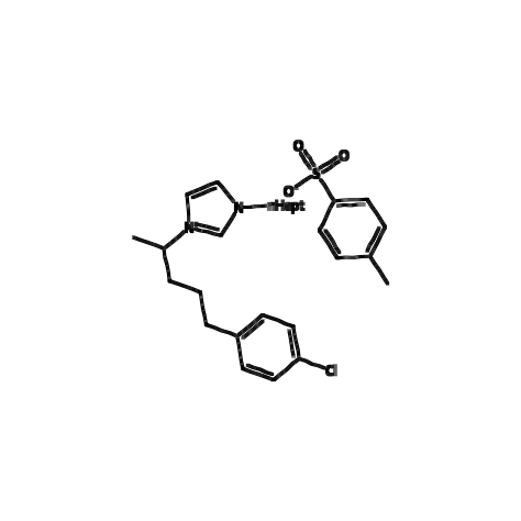 CCCCCCCn1cc[n+](C(C)CCCc2ccc(Cl)cc2)c1.Cc1ccc(S(=O)(=O)[O-])cc1